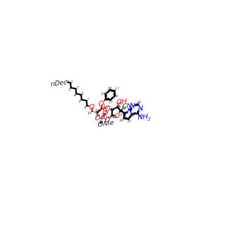 CCCCCCCCCCCCCCCCCCOC[C@H](COc1ccccc1)OP(=O)(OC)O[C@H]1O[C@@](C#N)(c2ccc3c(N)ncnn23)[C@H](O)[C@@H]1O